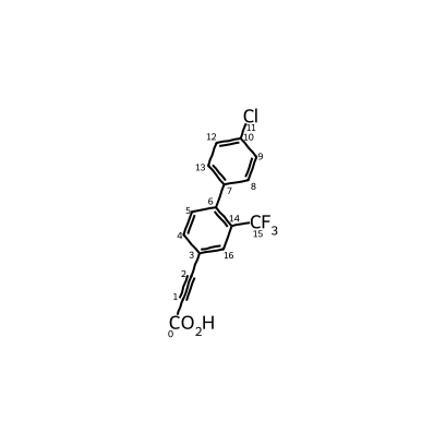 O=C(O)C#Cc1ccc(-c2ccc(Cl)cc2)c(C(F)(F)F)c1